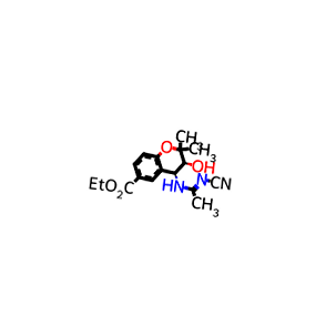 CCOC(=O)c1ccc2c(c1)[C@@H](NC(C)=NC#N)[C@H](O)C(C)(C)O2